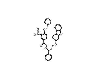 O=C(CNC(CCOc1ccc2c(c1)oc1ccccc12)c1ccccc1)c1ccc(OCc2ccccc2)c([N+](=O)[O-])c1